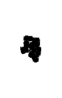 O=C(Nc1ncccc1O)C1CN(Cc2ccc(-n3nccc3C[C@@H](CO)NC(=O)C3CN(Cc4ccc(-n5cc(C6CC[C@H](O)[C@@H](NC(=O)[C@H]7CN(Cc8ccc(-n9cccn9)cc8)c8ccccc8O7)C6)cn5)cc4)c4ccccc4O3)cc2)c2ccccc2O1